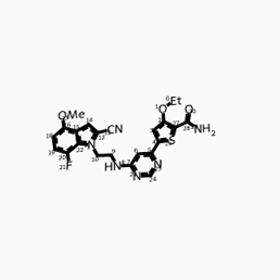 CCOc1cc(-c2cc(NCCn3c(C#N)cc4c(OC)ccc(F)c43)ncn2)sc1C(N)=O